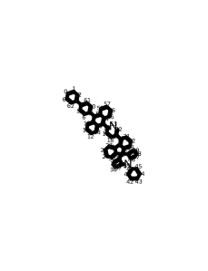 c1ccc(-c2ccc(-c3c4ccccc4c(-c4ccc(-c5cccc6c5-c5ccccc5C65c6ccccc6N(c6ccccc6)c6ccccc65)cn4)c4ccccc34)cc2)cc1